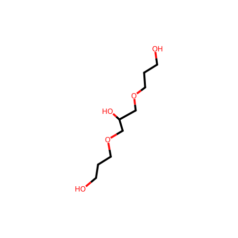 OCCCOCC(O)COCCCO